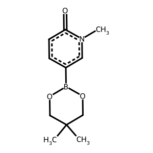 Cn1cc(B2OCC(C)(C)CO2)ccc1=O